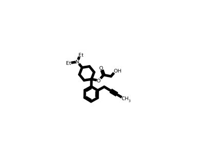 CC#CCc1ccccc1C1(OC(=O)CO)CCC(N(CC)CC)CC1